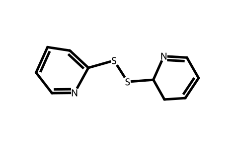 C1=CCC(SSc2ccccn2)N=C1